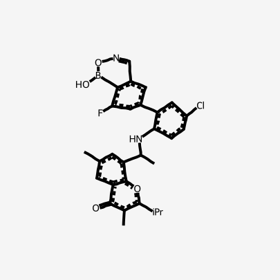 Cc1cc(C(C)Nc2ccc(Cl)cc2-c2cc(F)c3c(c2)C=NOB3O)c2oc(C(C)C)c(C)c(=O)c2c1